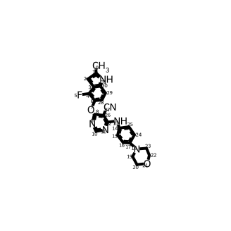 Cc1cc2c(F)c(Oc3ncnc(Nc4ccc(N5CCOCC5)cc4)c3C#N)ccc2[nH]1